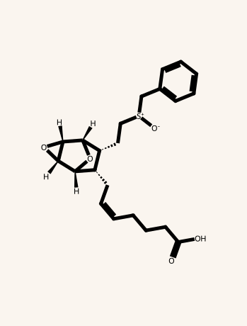 O=C(O)CCC/C=C\C[C@H]1[C@@H](CC[S+]([O-])Cc2ccccc2)[C@@H]2O[C@H]1[C@@H]1O[C@@H]12